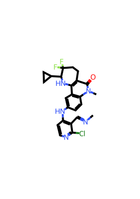 CN=Cc1c(Nc2ccc3c(c2)c2c(c(=O)n3C)CCC(F)(F)C(C3CC3)N2)ccnc1Cl